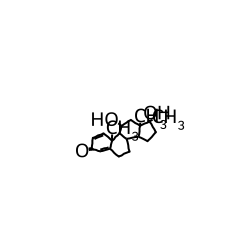 CC12C=CC(=O)C=C1CCC1C2C(O)CC2(C)C1CCC2(C)O